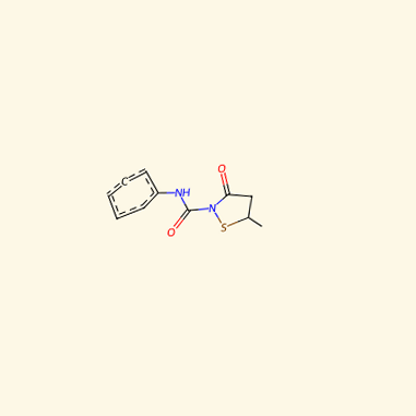 CC1CC(=O)N(C(=O)Nc2ccccc2)S1